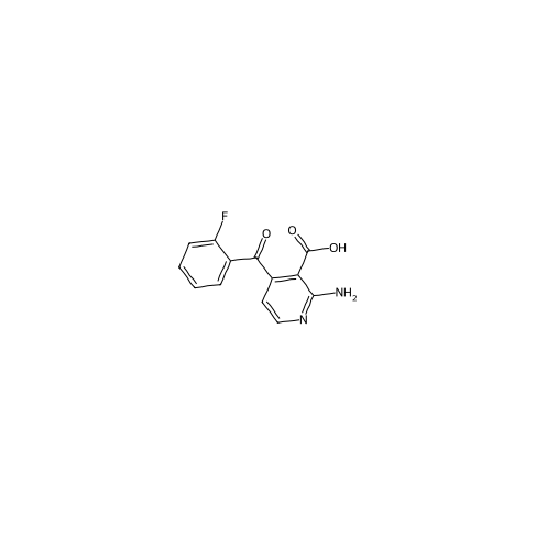 Nc1nccc(C(=O)c2ccccc2F)c1C(=O)O